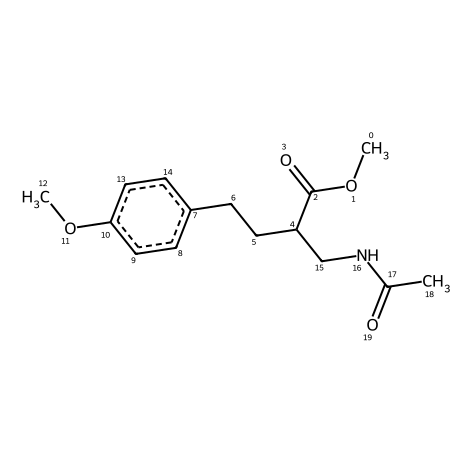 COC(=O)C(CCc1ccc(OC)cc1)CNC(C)=O